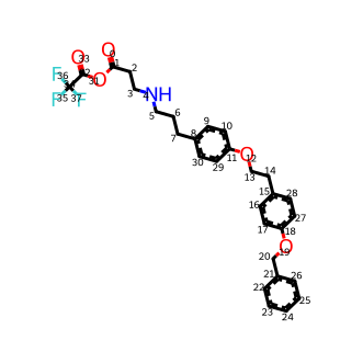 O=C(CCNCCCc1ccc(OCCc2ccc(OCc3ccccc3)cc2)cc1)OC(=O)C(F)(F)F